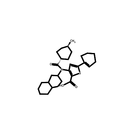 C[C@H]1CC[C@H](C(=O)N(c2cc(C3=CCCCC3)sc2C(=O)O)C2CCC3CCCCC3C2)CC1